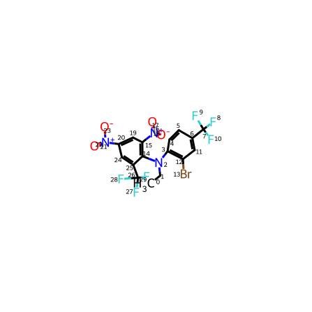 CCN(c1ccc(C(F)(F)F)cc1Br)c1c([N+](=O)[O-])cc([N+](=O)[O-])cc1C(F)(F)F